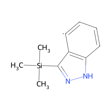 C[Si](C)(C)c1n[nH]c2ccc[c]c12